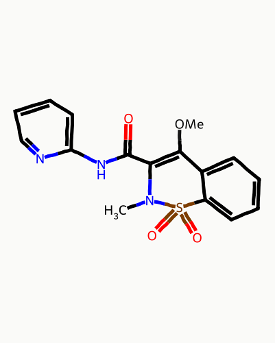 COC1=C(C(=O)Nc2ccccn2)N(C)S(=O)(=O)c2ccccc21